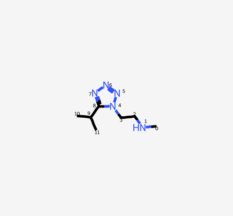 CNCCn1nnnc1C(C)C